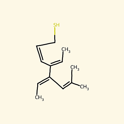 C/C=C(C=C(C)C)/C(/C=C\CS)=C/C